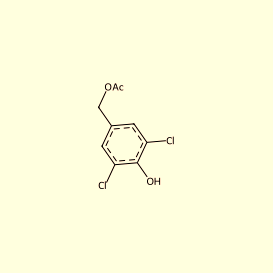 CC(=O)OCc1cc(Cl)c(O)c(Cl)c1